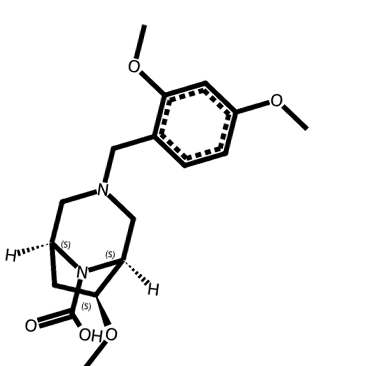 COc1ccc(CN2C[C@@H]3C[C@H](OC)[C@H](C2)N3C(=O)O)c(OC)c1